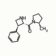 C[C@@H]1CCCN1C(=O)[C@H]1NC[C@@H]1c1ccccc1